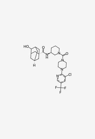 O=C(N1CCN(c2ncc(C(F)(F)F)cc2Cl)CC1)N1CCC[C@H](NC(=O)[C@]23CC4C[C@@H](CC(C2)C4O)C3)C1